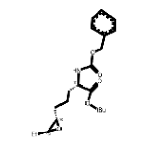 CC[C@@H]1O[C@H]1CCC[C@H](NC(=O)OCc1ccccc1)C(=O)OC(C)(C)C